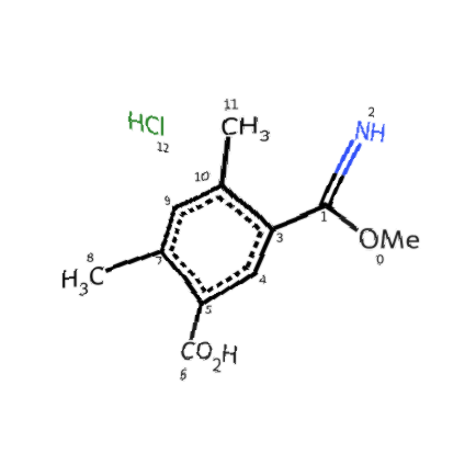 COC(=N)c1cc(C(=O)O)c(C)cc1C.Cl